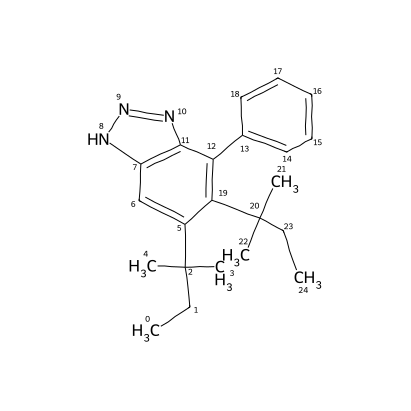 CCC(C)(C)c1cc2[nH]nnc2c(-c2ccccc2)c1C(C)(C)CC